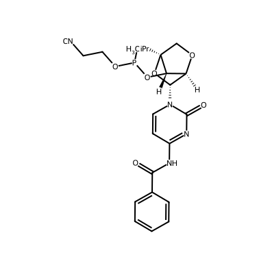 [C-]#[N+]CCOP(C)O[C@H]1[C@H]2OC[C@]1(C(C)C)O[C@H]2n1ccc(NC(=O)c2ccccc2)nc1=O